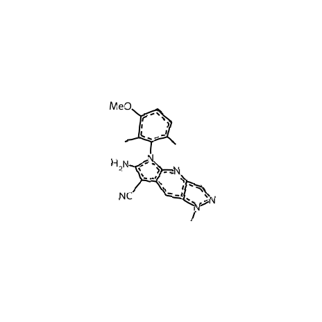 COc1ccc(C)c(-n2c(N)c(C#N)c3cc4c(cnn4C)nc32)c1C